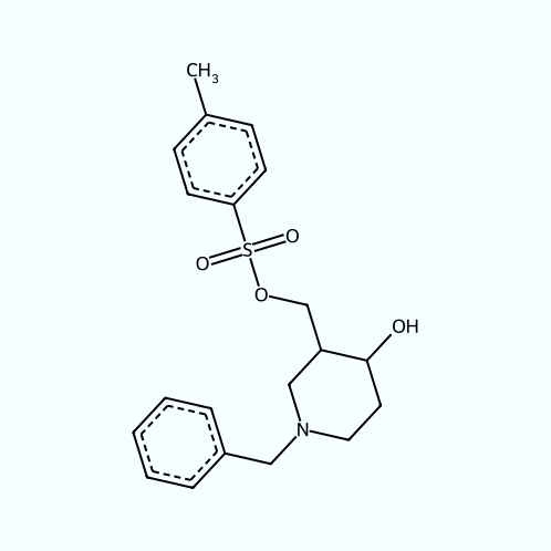 Cc1ccc(S(=O)(=O)OCC2CN(Cc3ccccc3)CCC2O)cc1